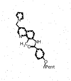 CCCCCOc1ccc(C(=O)Nc2ccc3cc(Cn4cccc4)cnc3c2C)cc1